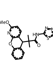 COc1ccc2c(n1)Oc1ccccc1C2C(C)(C)C(=O)Nc1nncs1